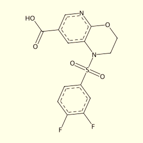 O=C(O)c1cnc2c(c1)N(S(=O)(=O)c1ccc(F)c(F)c1)CCO2